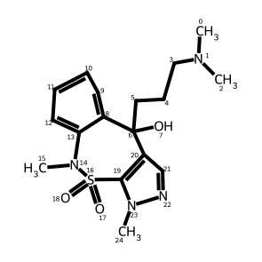 CN(C)CCCC1(O)c2ccccc2N(C)S(=O)(=O)c2c1cnn2C